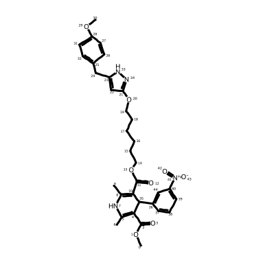 COC(=O)C1=C(C)NC(C)=C(C(=O)OCCCCCCOc2cc(Cc3ccc(OC)cc3)[nH]n2)C1c1cccc([N+](=O)[O-])c1